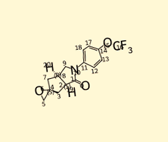 O=C1[C@H]2C[C@]3(CO3)C[C@H]2CN1c1ccc(OC(F)(F)F)cc1